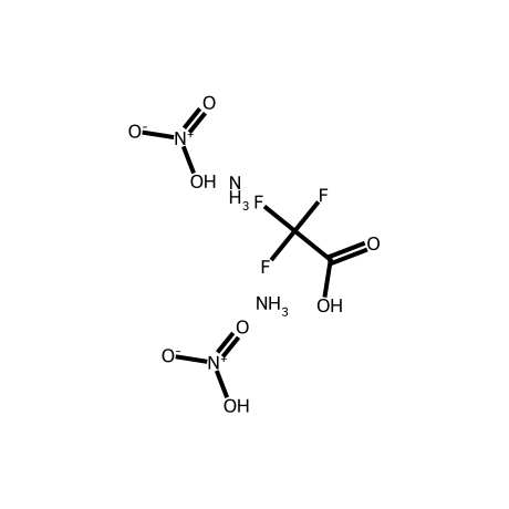 N.N.O=C(O)C(F)(F)F.O=[N+]([O-])O.O=[N+]([O-])O